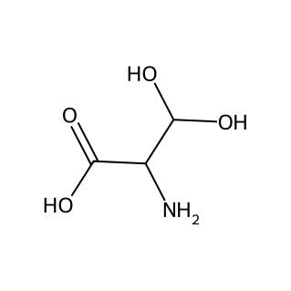 NC(C(=O)O)C(O)O